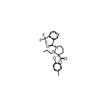 CCC[C@H]1N(C(=O)c2cnccc2C(F)(F)F)CCC[C@@]1(Oc1ccc(C)cc1)C(=O)Cl